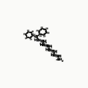 BBBBBBBBBB(c1ccccc1)c1ccccc1